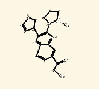 COC(=O)c1ccc2nc(C3C=COC3)c(N3CCC[C@@H]3C)nc2c1